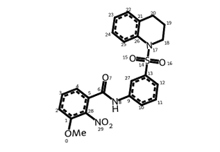 COc1cccc(C(=O)Nc2cccc(S(=O)(=O)N3CCCc4ccccc43)c2)c1[N+](=O)[O-]